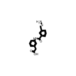 NN=Cc1cccc(C(=O)Nc2cccc(CC(=O)O)c2)c1